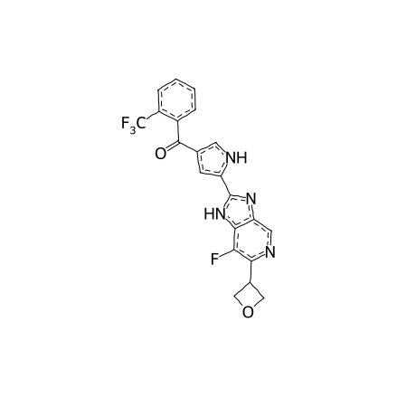 O=C(c1c[nH]c(-c2nc3cnc(C4COC4)c(F)c3[nH]2)c1)c1ccccc1C(F)(F)F